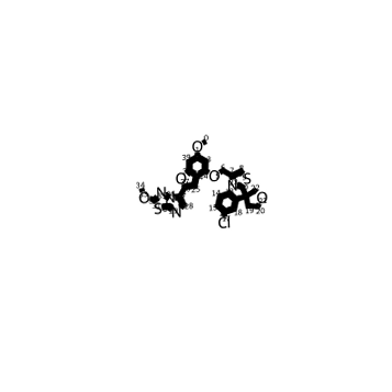 COc1cc(OCc2csc(C3(c4cccc(Cl)c4)CCOC3)n2)c2cc(-c3cnc4sc(OC)nn34)oc2c1